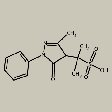 CC1=NN(c2ccccc2)C(=O)C1C(C)(C)S(=O)(=O)O